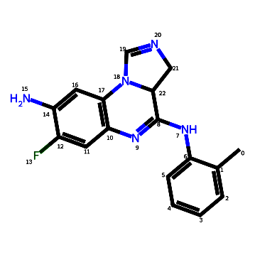 Cc1ccccc1NC1=Nc2cc(F)c(N)cc2N2C=NCC12